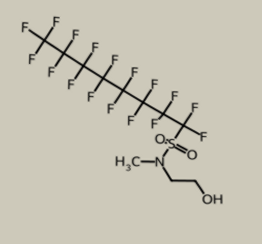 CN(CCO)S(=O)(=O)C(F)(F)C(F)(F)C(F)(F)C(F)(F)C(F)(F)C(F)(F)C(F)(F)C(F)(F)F